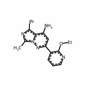 CCOc1ncccc1-c1cc(N)c2c(C(C)C)nc(C)n2n1